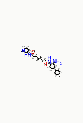 Nc1cc(-c2ccccc2)ccc1NC(=O)CCCCCCC(=O)Nc1cccnc1